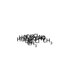 CO[C@H]1O[C@H](CO)[C@@H](O)[C@H](O)[C@H]1OC(=O)c1cc(Cl)c(OCc2cn3c(C)cccc3n2)c(Cl)c1C